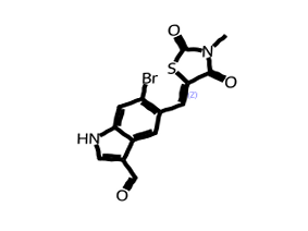 CN1C(=O)S/C(=C\c2cc3c(C=O)c[nH]c3cc2Br)C1=O